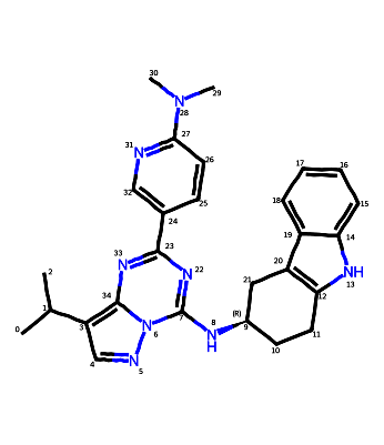 CC(C)c1cnn2c(N[C@@H]3CCc4[nH]c5ccccc5c4C3)nc(-c3ccc(N(C)C)nc3)nc12